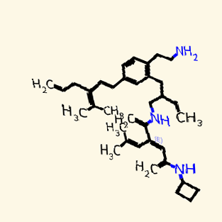 C=CCC(CCc1ccc(CCN)c(CC(CC)CNC(=C)/C(C=C(C)C)=C/C(=C)NC2CCC2)c1)=C(C)C